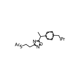 CC(=O)SCCc1noc(C(C)c2ccc(CC(C)C)cc2)n1